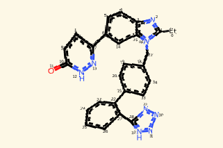 CCc1nc2ccc(-c3ccc(=O)[nH]n3)cc2n1Cc1ccc(-c2ccccc2-c2nnn[nH]2)cc1